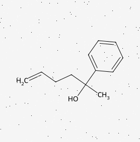 C=CCCC(C)(O)c1ccccc1